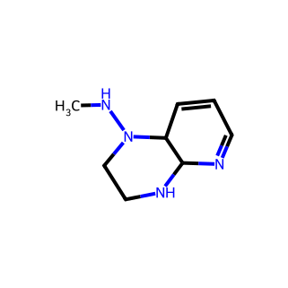 CNN1CCNC2N=CC=CC21